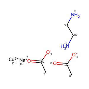 CC(=O)[O-].CC(=O)[O-].NCCN.[Cu+2].[Na+]